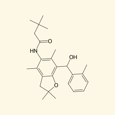 Cc1ccccc1C(O)c1c(C)c(NC(=O)CC(C)(C)C)c(C)c2c1OC(C)(C)C2